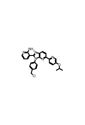 CC(C)Oc1ccc(-c2ccc3nc(-c4cccnc4N)n(-c4ccc(CCl)cc4)c3n2)nc1